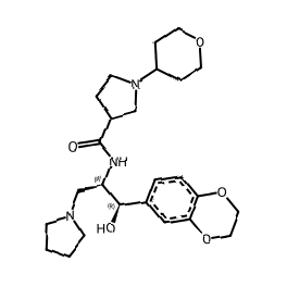 O=C(N[C@H](CN1CCCC1)[C@H](O)c1ccc2c(c1)OCCO2)C1CCN(C2CCOCC2)C1